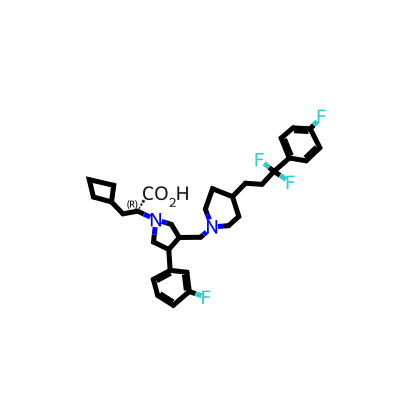 O=C(O)[C@@H](CC1CCC1)N1CC(CN2CCC(CCC(F)(F)c3ccc(F)cc3)CC2)C(c2cccc(F)c2)C1